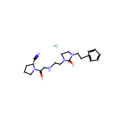 Cl.N#C[C@@H]1CCCN1C(=O)CNCCN1CCN(CCc2ccccc2)C1=O